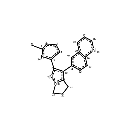 Cc1cccc(-c2nn3c(c2-c2ccc4ncccc4c2)CCC3)n1